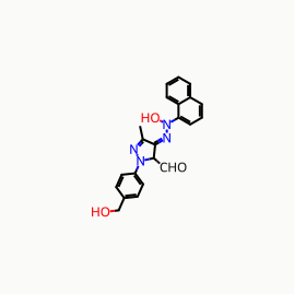 CC1=NN(c2ccc(CO)cc2)C(C=O)C1=NN(O)c1cccc2ccccc12